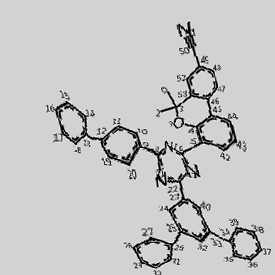 CC1(C)Oc2c(-c3nc(-c4ccc(-c5ccccc5)cc4)nc(-c4cc(-c5ccccc5)cc(-c5ccccc5)c4)n3)cccc2-c2ccc(C#N)cc21